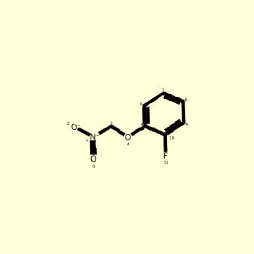 O=[N+]([O-])COc1ccccc1F